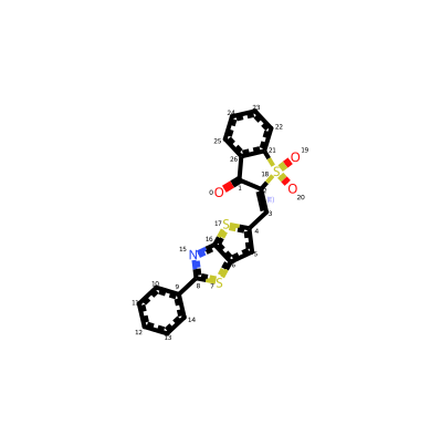 O=C1/C(=C\c2cc3sc(-c4ccccc4)nc3s2)S(=O)(=O)c2ccccc21